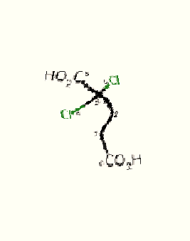 O=C(O)CCC(Cl)(Cl)C(=O)O